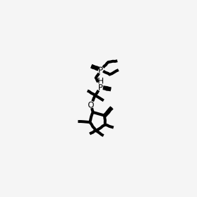 C=C1C(OC(C)(C)[PH](=C)CP(=C)(CC)CC)C(C)C(C)(C)C1C